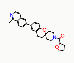 Cc1nccc2cc(-c3ccc4c(c3)CCC3(CCN(C(=O)[C@H]5CCCO5)CC3)O4)ccc12